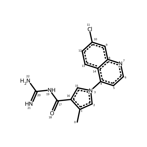 Cc1cn(-c2ccnc3cc(Cl)ccc23)cc1C(=O)NC(=N)N